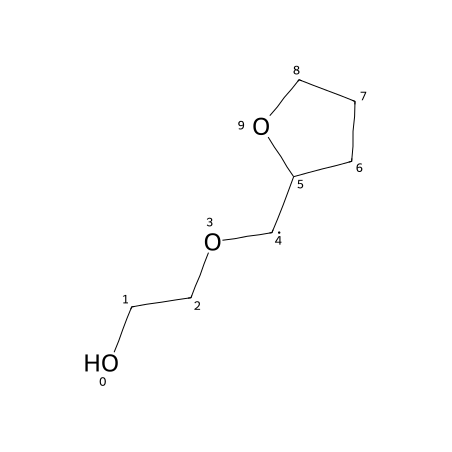 OCCO[CH]C1CCCO1